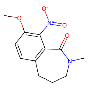 COc1ccc2c(c1[N+](=O)[O-])C(=O)N(C)CCC2